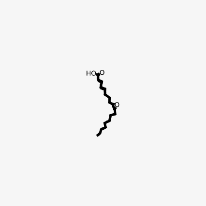 CCCCCCCCC1OC1CCC/C=C/C=C/C(=O)O